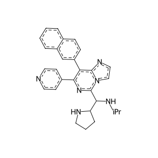 CC(C)NC(c1nc(-c2ccncc2)c(-c2ccc3ccccc3c2)c2nccn12)C1CCCN1